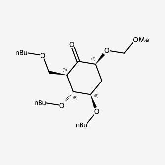 CCCCOC[C@H]1C(=O)[C@@H](OCOC)C[C@@H](OCCCC)[C@@H]1OCCCC